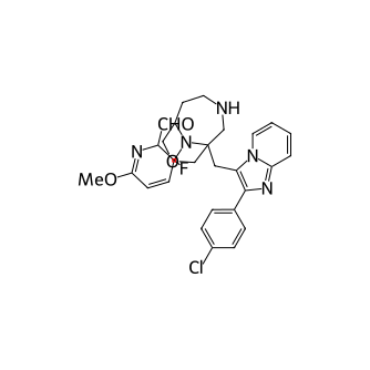 COC1=NC(C=O)C(F)(N2C3CCNCC2(Cc2c(-c4ccc(Cl)cc4)nc4ccccn24)COC3)C=C1